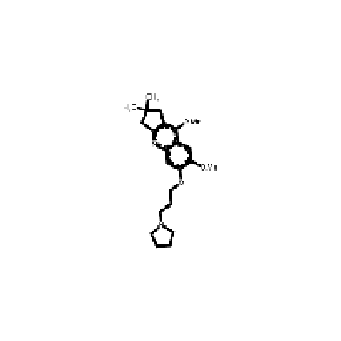 CNc1c2c(nc3cc(OCCCN4CCCC4)c(OC)cc13)CC(C)(C)C2